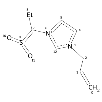 C=CCn1cc[n+](C(CC)=S(=O)=O)c1